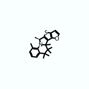 Cc1cccc2c1N1[C@@H](C)c3sc4ccoc4c3C1(C)C(C)(C)C2(C)C